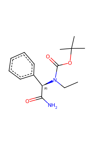 CCN(C(=O)OC(C)(C)C)[C@@H](C(N)=O)c1ccccc1